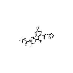 C[C@@H](Cc1c(F)c2c(NCc3ccco3)nc(Cl)nc2n1C)NC(=O)OC(C)(C)C